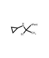 CCCCCC(C)(CC)NC1CC1